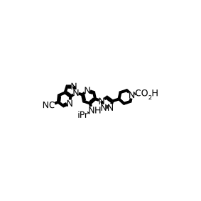 CC(C)Nc1cc(-n2ncc3cc(C#N)cnc32)ncc1-n1cc(C2CCN(C(=O)O)CC2)nn1